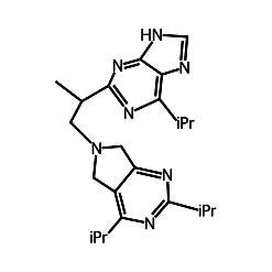 CC(C)c1nc2c(c(C(C)C)n1)CN(CC(C)c1nc(C(C)C)c3nc[nH]c3n1)C2